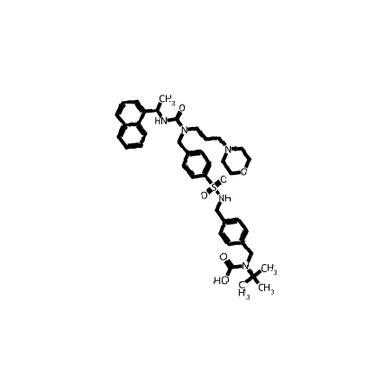 CC(NC(=O)N(CCCN1CCOCC1)Cc1ccc(S(=O)(=O)NCc2ccc(CN(C(=O)O)C(C)(C)C)cc2)cc1)c1cccc2ccccc12